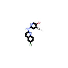 Cc1cc(Nc2ccc3cc(Cl)ccc3n2)ncc1Br